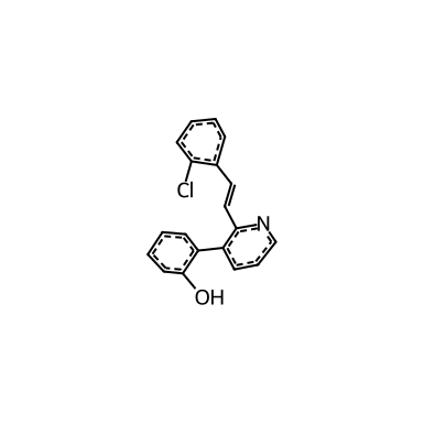 Oc1ccccc1-c1cccnc1C=Cc1ccccc1Cl